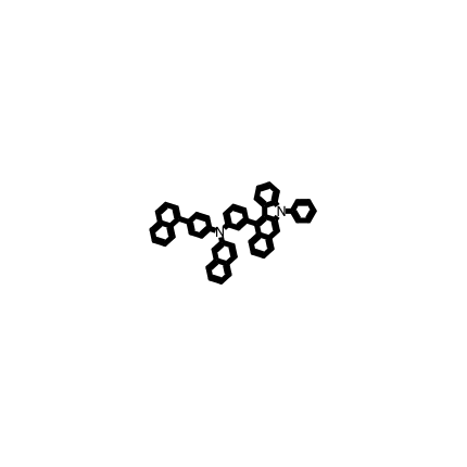 c1ccc(-n2c3ccccc3c3c(-c4cccc(N(c5ccc(-c6cccc7ccccc67)cc5)c5ccc6ccccc6c5)c4)c4ccccc4cc32)cc1